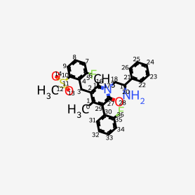 Cc1c(Cc2c(F)cccc2S(C)(=O)=O)c(C)n(CC(N)c2ccccc2)c(=O)c1-c1ccccc1F